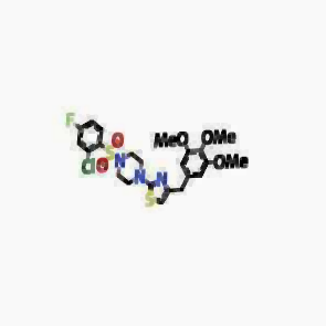 COc1cc(Cc2csc(N3CCN(S(=O)(=O)c4ccc(F)cc4Cl)CC3)n2)cc(OC)c1OC